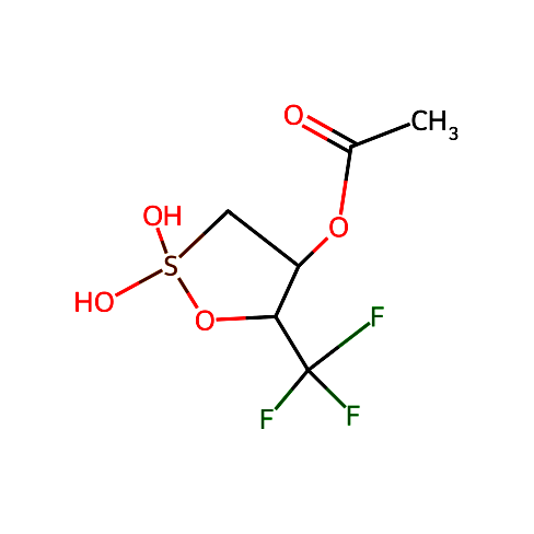 CC(=O)OC1CS(O)(O)OC1C(F)(F)F